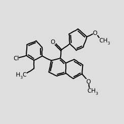 CCc1c(Cl)cccc1-c1ccc2cc(OC)ccc2c1C(=O)c1ccc(OC)cc1